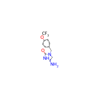 NCCN(Cc1ccc(OC(F)(F)F)cc1)C(N)=O